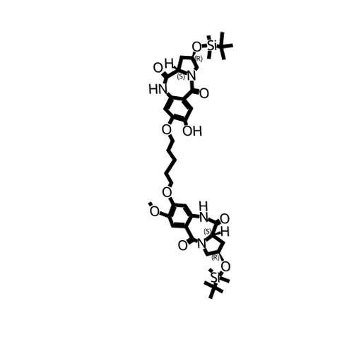 COc1cc2c(cc1OCCCCCOc1cc3c(cc1O)C(=O)N1C[C@H](O[Si](C)(C)C(C)(C)C)C[C@H]1C(=O)N3)NC(=O)[C@@H]1C[C@@H](O[Si](C)(C)C(C)(C)C)CN1C2=O